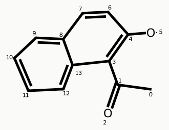 CC(=O)c1c([O])ccc2ccccc12